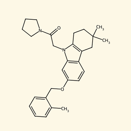 Cc1ccccc1COc1ccc2c3c(n(CC(=O)N4CCCC4)c2c1)CCC(C)(C)C3